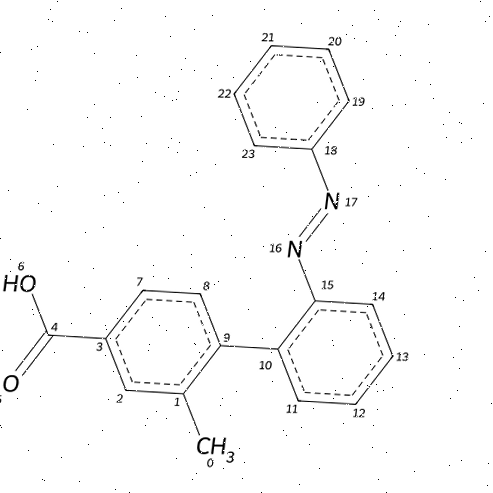 Cc1cc(C(=O)O)ccc1-c1ccccc1/N=N/c1ccccc1